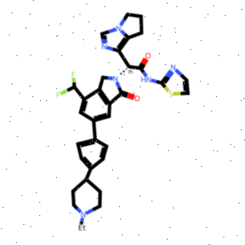 CCN1CCC(c2ccc(-c3cc4c(c(C(F)F)c3)CN([C@@H](C(=O)Nc3nccs3)c3ncn5c3CCC5)C4=O)cc2)CC1